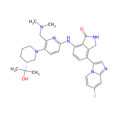 CN(C)Cc1nc(Nc2ccc(-c3cnc4cc(F)ccn34)c3c2C(=O)NC3)ccc1N1CCC[C@@H](C(C)(C)O)C1